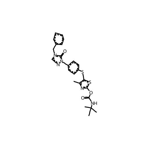 Cc1nc(OC(=O)NC(C)(C)C)sc1Sc1ccc(-n2ncn(Cc3ccccc3)c2=O)cc1